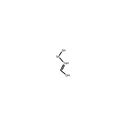 OC=[TeH][Se]S